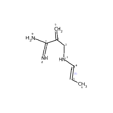 C=C(CN/C=C/C)C(=N)N